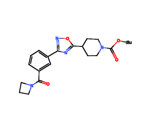 CC(C)(C)OC(=O)N1CCC(c2nc(-c3cccc(C(=O)N4CCC4)c3)no2)CC1